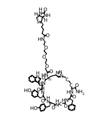 NC(=O)[C@@H]1CCCCn2cc(nn2)C[C@H](NC(=O)COCCOCCOCCNC(=O)CCCC[C@H]2SC[C@H]3NC(=O)N[C@H]32)C(=O)N[C@H](Cc2c[nH]c3ccccc23)C(=O)N[C@H](Cc2ccc(O)cc2)C(=O)N[C@H](Cc2ccc(O)cc2)C(=O)NCC(=O)N[C@H](Cc2ccccc2)C(=O)N1